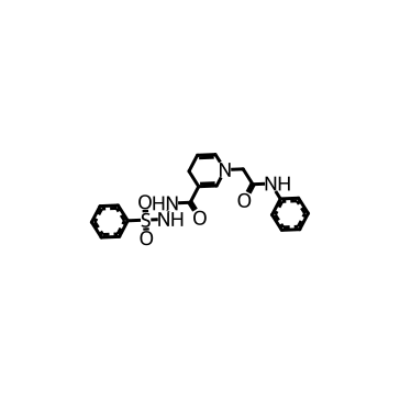 O=C(CN1C=CCC(C(=O)NNS(=O)(=O)c2ccccc2)=C1)Nc1ccccc1